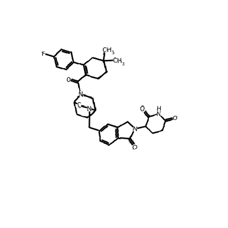 CC1(C)CCC(C(=O)N2CC3CCC2CN3Cc2ccc3c(c2)CN(C2CCC(=O)NC2=O)C3=O)=C(c2ccc(F)cc2)C1